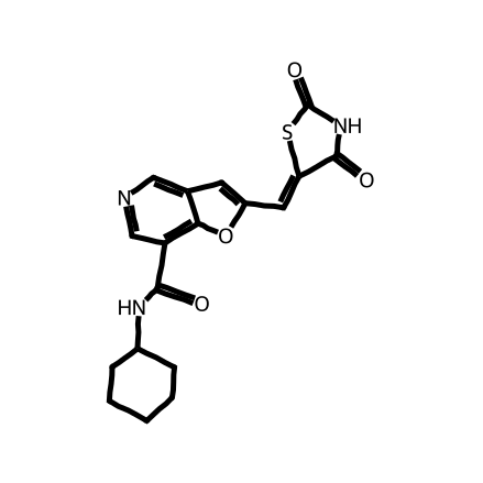 O=C1NC(=O)/C(=C/c2cc3cncc(C(=O)NC4CCCCC4)c3o2)S1